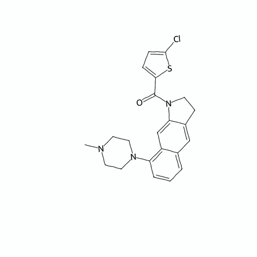 CN1CCN(c2cccc3cc4c(cc23)N(C(=O)c2ccc(Cl)s2)CC4)CC1